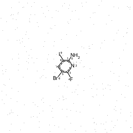 Nc1nc(F)c(Br)cc1I